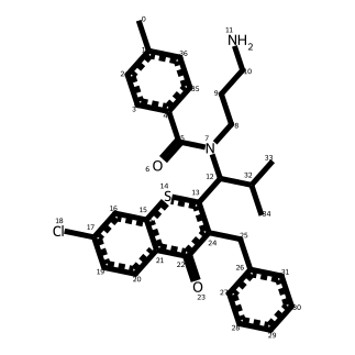 Cc1ccc(C(=O)N(CCCN)C(c2sc3cc(Cl)ccc3c(=O)c2Cc2ccccc2)C(C)C)cc1